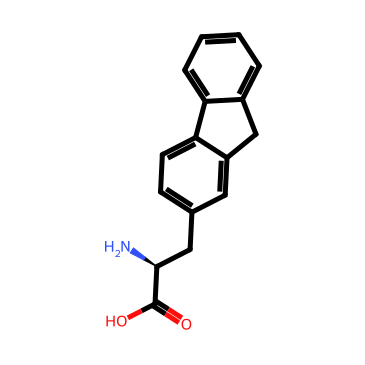 N[C@@H](Cc1ccc2c(c1)Cc1ccccc1-2)C(=O)O